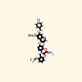 COc1cc2c(Oc3ccc(N(Cc4ccccc4OC(F)(F)F)C(=O)C(N)=O)cc3F)ccnc2cc1OCC1CCNCC1